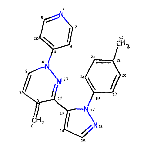 C=C1C=CN(c2ccncc2)N=C1c1ccnn1-c1ccc(C)cc1